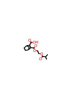 CC(C)C(=O)OCCOC(=O)C1C2CCC(C2)C1C(=O)O